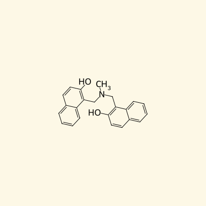 CN(Cc1c(O)ccc2ccccc12)Cc1c(O)ccc2ccccc12